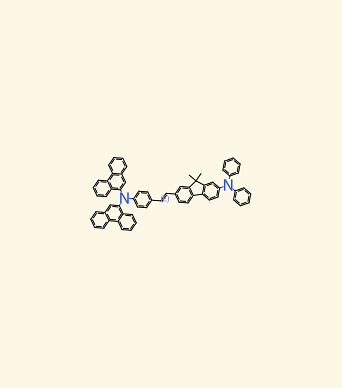 CC1(C)c2cc(/C=C/c3ccc(N(c4cc5ccccc5c5ccccc45)c4cc5ccccc5c5ccccc45)cc3)ccc2-c2ccc(N(c3ccccc3)c3ccccc3)cc21